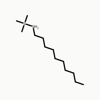 CCCCCCCCCC[SiH2][Si](C)(C)C